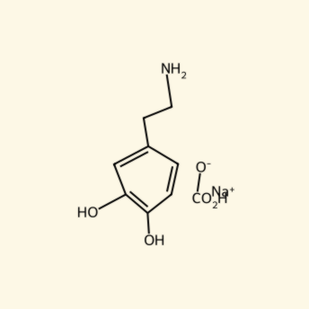 NCCc1ccc(O)c(O)c1.O=C([O-])O.[Na+]